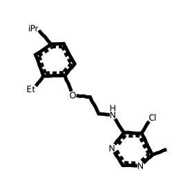 CCc1cc(C(C)C)ccc1OCCNc1ncnc(C)c1Cl